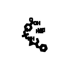 CC/C(=C\c1ccccc1)C1CC1NCC(C)(C)CN1CCC(C(=O)O)CC1.Cl.Cl